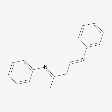 CC(CC=Nc1ccccc1)=Nc1ccccc1